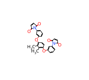 Cc1c(Oc2cccc(N3C(=O)C=CC3=O)c2)ccc(Oc2cccc(N3C(=O)C=CC3=O)c2)c1C